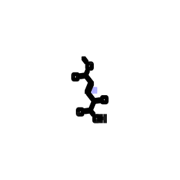 COC(=O)/C=C/C(=O)C(=O)O